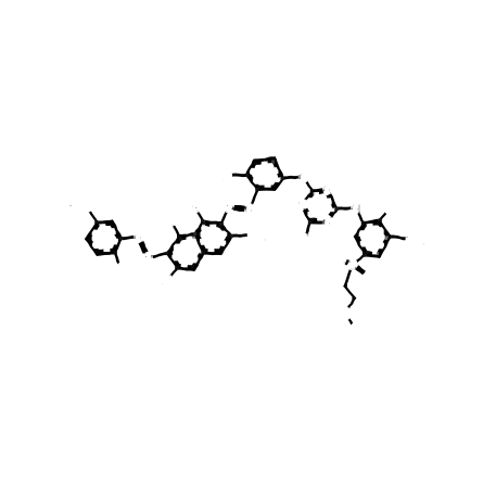 Nc1c(/N=N/c2cc(Nc3nc(Cl)nc(Nc4cc(S(=O)(=O)CCOS(=O)(=O)O)cc(S(=O)(=O)O)c4O)n3)ccc2S(=O)(=O)O)c(S(=O)(=O)O)cc2cc(S(=O)(=O)O)c(/N=N/c3cc(S(=O)(=O)O)ccc3S(=O)(=O)O)c(O)c12